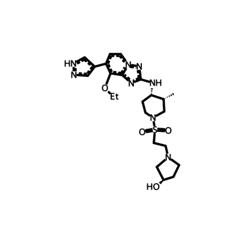 CCOc1c(-c2cn[nH]c2)ccn2nc(N[C@H]3CCN(S(=O)(=O)CCN4CC[C@@H](O)C4)C[C@H]3C)nc12